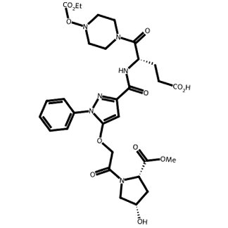 CCOC(=O)ON1CCN(C(=O)[C@H](CCC(=O)O)NC(=O)c2cc(OCC(=O)N3C[C@@H](O)C[C@H]3C(=O)OC)n(-c3ccccc3)n2)CC1